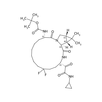 CC(C)(C)OC(=O)N[C@H]1CCCCCCC(F)(F)CC[C@@H](C(=O)C(=O)NC2CC2)NC(=O)[C@@H]2[C@@H]3[C@H](CN2C1=O)C3(C)C